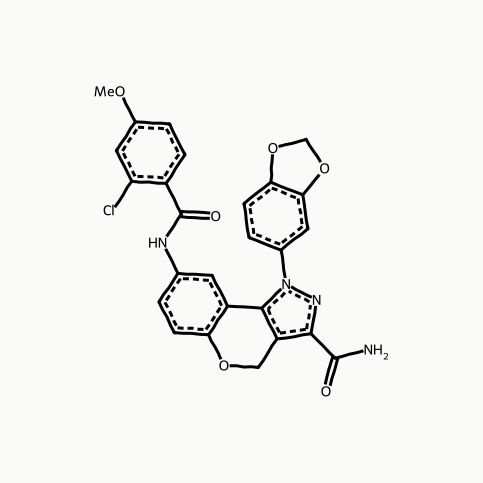 COc1ccc(C(=O)Nc2ccc3c(c2)-c2c(c(C(N)=O)nn2-c2ccc4c(c2)OCO4)CO3)c(Cl)c1